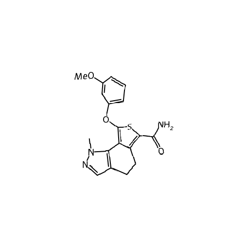 COc1cccc(Oc2sc(C(N)=O)c3c2-c2c(cnn2C)CC3)c1